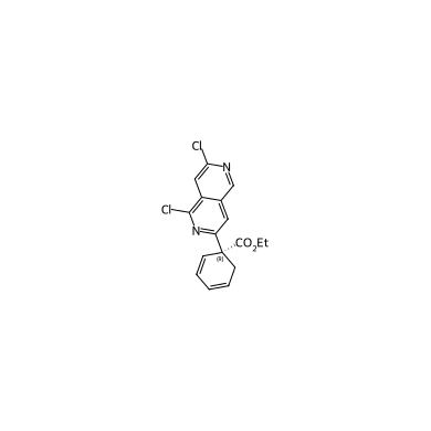 CCOC(=O)[C@@]1(c2cc3cnc(Cl)cc3c(Cl)n2)C=CC=CC1